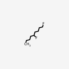 CCCCC(F)CCCCF